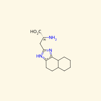 N[C@H](Cc1nc2c([nH]1)CCC1CCCCC21)C(=O)O